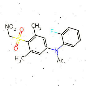 CC(=O)N(c1cc(C)c(S(=O)(=O)C[N+](=O)[O-])c(C)c1)c1ccccc1F